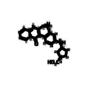 CCCCc1nc2ccccn2c(=O)c1-c1ccc(NC2CCN(C(=O)O)C2)cc1C